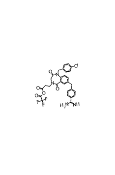 N=C(N)c1ccc(Cc2ccc3c(c2)C(=O)N(CCC(=O)OC(=O)C(F)(F)F)CC(=O)N3Cc2ccc(Cl)cc2)cc1